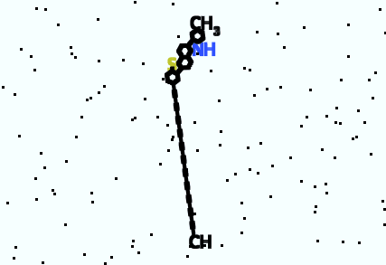 C#CC#CC#CC#CC#CC#CC#CC#CC#CC#CC#CC#Cc1ccc2sc3c(ccc4c3ccc3c5cc(C)ccc5[nH]c34)c2c1